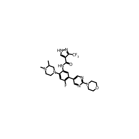 CC1CN(c2cc(F)c(-c3cnc(N4CCOCC4)nc3)cc2NC(=O)c2c[nH]nc2C(F)(F)F)CCN1C